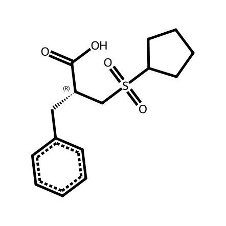 O=C(O)[C@@H](Cc1ccccc1)CS(=O)(=O)C1CCCC1